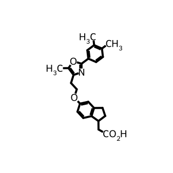 Cc1ccc(-c2nc(CCOc3ccc4c(c3)CCC4CC(=O)O)c(C)o2)cc1C